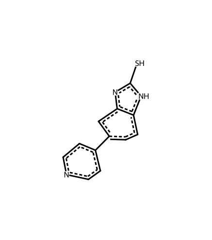 Sc1nc2cc(-c3ccncc3)ccc2[nH]1